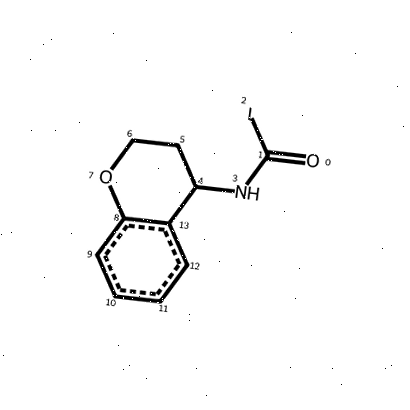 O=C(I)NC1CCOc2ccccc21